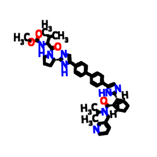 COC(=O)N[C@H](C(=O)N1CCC[C@H]1c1ncc(-c2ccc(-c3ccc(-c4cnc([C@@H]5[C@H]6CC[C@H](C6)[C@H]5C(=O)N(Cc5cccnc5)C(C)C)[nH]4)cc3)cc2)[nH]1)C(C)C